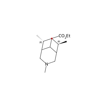 CCOC(=O)CC1C2CN(C)CC1[C@H](C)C[C@H]2C